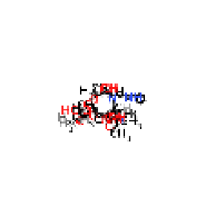 CC[C@H]1OC(=O)[C@H](C)[C@@H](OC2C[C@@](C)(OC)[C@@H](O)[C@H](C)O2)[C@H](C)[C@H](O[C@@H]2O[C@H](C)C[C@H](N(C)C)[C@H]2O)C(C)(O)C[C@@H](C)CN(CCCNCc2ccccc2)[C@H](C)[C@H](O)[C@]1(C)O